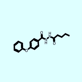 CCCCC(=O)NNC(=O)c1ccc(Oc2ccccc2)cc1